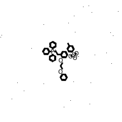 Cc1ccc(S(=O)(=O)[O-])cc1.c1ccc(OCCCOc2ccccc2CC[P+](c2ccccc2)(c2ccccc2)c2ccccc2)cc1